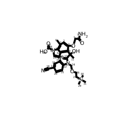 Cc1cc(OCC(N)=O)c(C(C)(O)c2nc3cc(C#N)ccc3n2COCC[Si](C)(C)C)c2ccn(C(=O)O)c12